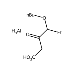 CCCCOC(CC)C(=O)CC(=O)O.[AlH3]